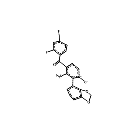 Nc1c(C(=O)c2ccc(F)cc2F)cc[n+]([O-])c1-c1cccc2c1OCO2